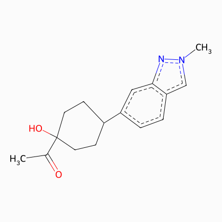 CC(=O)C1(O)CCC(c2ccc3cn(C)nc3c2)CC1